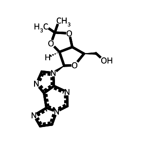 CC1(C)OC2[C@@H](CO)O[C@@H](n3cnc4c3ncn3ccnc43)[C@H]2O1